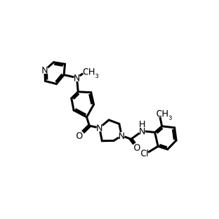 Cc1cccc(Cl)c1NC(=O)N1CCN(C(=O)c2ccc(N(C)c3ccncc3)cc2)CC1